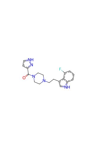 O=C(c1cc[nH]n1)N1CCN(CCc2c[nH]c3cccc(F)c23)CC1